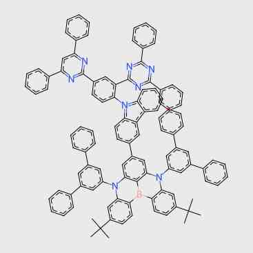 CC(C)(C)c1ccc2c(c1)N(c1cc(-c3ccccc3)cc(-c3ccccc3)c1)c1cc(-c3ccc4c(c3)c3ccccc3n4-c3ccc(-c4nc(-c5ccccc5)cc(-c5ccccc5)n4)cc3-c3nc(-c4ccccc4)nc(-c4ccccc4)n3)cc3c1B2c1ccc(C(C)(C)C)cc1N3c1cc(-c2ccccc2)cc(-c2ccccc2)c1